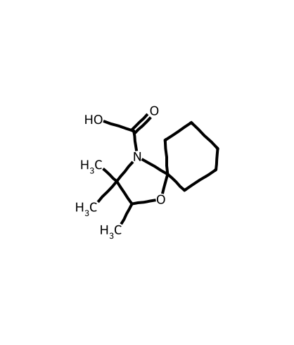 CC1OC2(CCCCC2)N(C(=O)O)C1(C)C